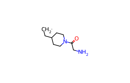 [CH2]CC1CCN(C(=O)CN)CC1